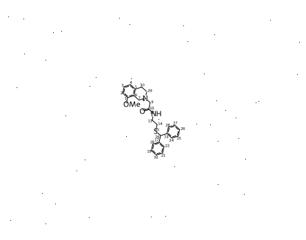 COc1cccc2c1CN(CC(=O)NCCSC(c1ccccc1)c1ccccc1)CC2